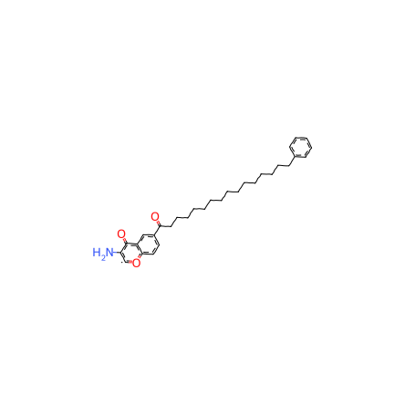 Nc1[c]oc2ccc(C(=O)CCCCCCCCCCCCCCCc3ccccc3)cc2c1=O